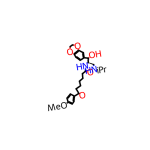 COc1ccc(C(=O)CCCCCC(=O)N[C@H](CNC(C)C)C(O)c2ccc3c(c2)OCCO3)cc1